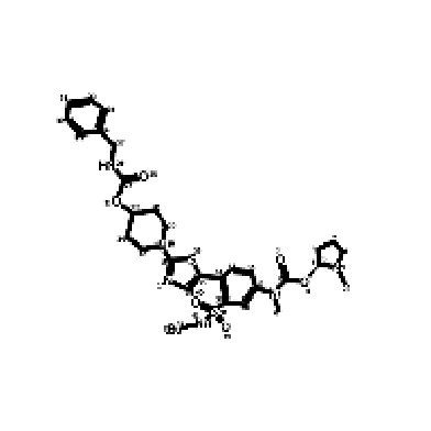 CN(C(=O)O[C@H]1CCCN1C)c1ccc(-c2cnc(N3CCC(OC(=O)NCc4ccccc4)CC3)s2)c(S(=O)(=O)NC(C)(C)C)c1